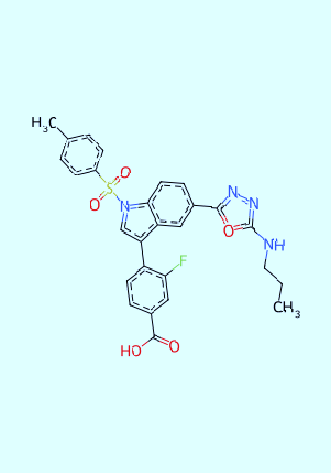 CCCNc1nnc(-c2ccc3c(c2)c(-c2ccc(C(=O)O)cc2F)cn3S(=O)(=O)c2ccc(C)cc2)o1